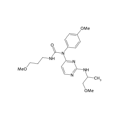 COCCCNC(=O)N(c1ccc(OC)cc1)c1ccnc(NC(C)COC)n1